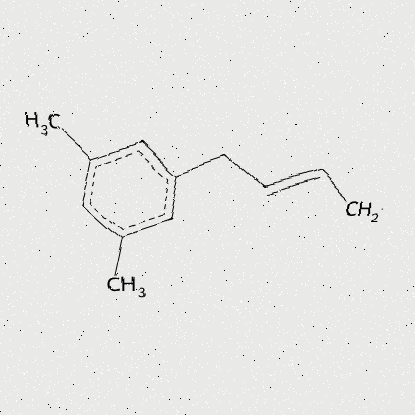 [CH2]/C=C/Cc1cc(C)cc(C)c1